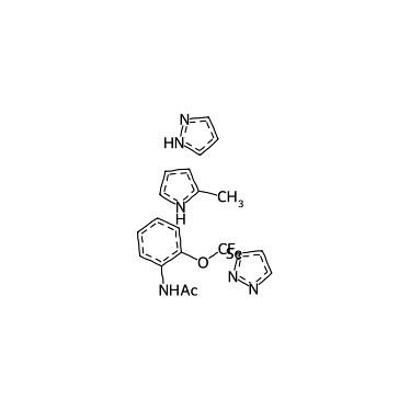 CC(=O)Nc1ccccc1OC(F)(F)F.Cc1ccc[nH]1.c1c[se]nn1.c1cn[nH]c1